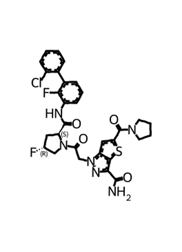 NC(=O)c1nn(CC(=O)N2C[C@H](F)C[C@H]2C(=O)Nc2cccc(-c3ccccc3Cl)c2F)c2cc(C(=O)N3CCCC3)sc12